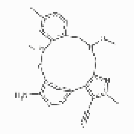 CON1Cc2ccc(F)cc2[C@@H](C)Oc2cc(cnc2N)-c2c(nn(C)c2C#N)C1